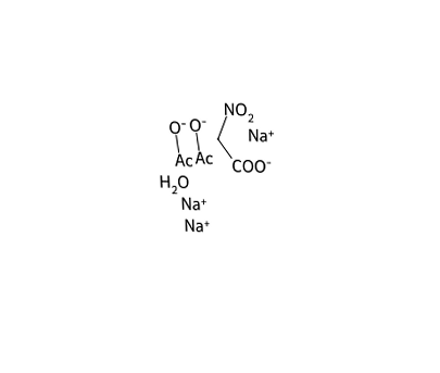 CC(=O)[O-].CC(=O)[O-].O.O=C([O-])C[N+](=O)[O-].[Na+].[Na+].[Na+]